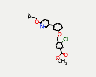 COC(=O)c1ccc(COc2cccc(-c3ccc(OCC4CC4)nc3)c2)c(Cl)c1